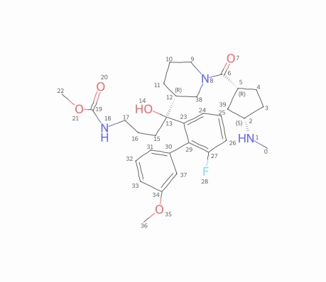 CN[C@H]1CC[C@@H](C(=O)N2CCC[C@@H](C(O)(CCCNC(=O)OC)c3cccc(F)c3-c3cccc(OC)c3)C2)C1